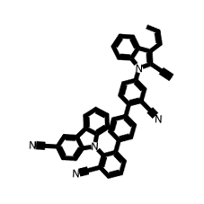 C#Cc1c(/C=C\C)c2ccccc2n1-c1ccc(-c2ccc(-c3cccc(C#N)c3-n3c4ccccc4c4cc(C#N)ccc43)cc2)c(C#N)c1